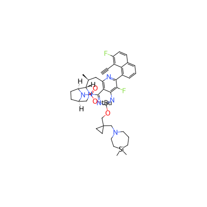 C#Cc1c(F)ccc2cccc(-c3nc4c5c(nc(OCC6(CN7CCC[Si](C)(C)CC7)CC6)nc5c3F)N3C[C@H]5CC[C@@H]([C@@H]3[C@@H](C)C4)N5C(=O)OC(C)(C)C)c12